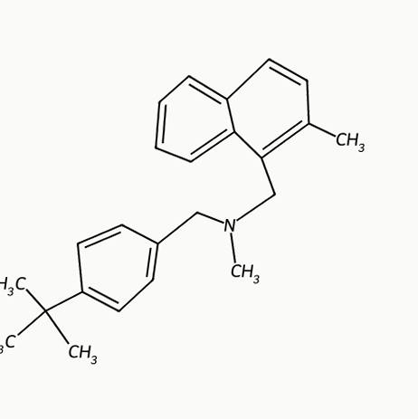 Cc1ccc2ccccc2c1CN(C)Cc1ccc(C(C)(C)C)cc1